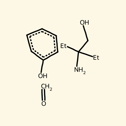 C=O.CCC(N)(CC)CO.Oc1ccccc1